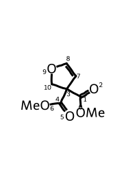 COC(=O)C1(C(=O)OC)C=COC1